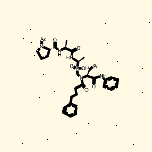 CC(=O)N1CCC[C@H]1C(=O)N[C@@H](C)C(=O)N[C@@H](C)P(=O)(O)CN(C(=O)CCCc1ccccc1)[C@@H](CC(C)C)C(=O)Nc1ccccc1